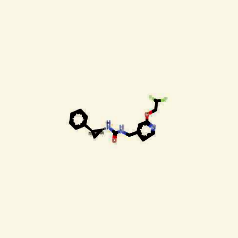 O=C(NCc1ccnc(OCC(F)F)c1)N[C@@H]1C[C@H]1c1ccccc1